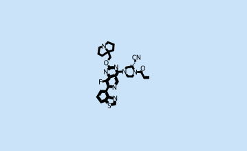 C=CC(=O)N1CCN(c2nc(OCC34CCCN3CCC4)nc3c(F)c(-c4cccc5scnc45)ncc23)C[C@@H]1CC#N